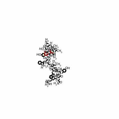 CC[C@H](C)[C@H](NC(=O)[C@H](Cc1c[nH]c2ccccc12)NC(=O)[C@H](C)NC(=O)[C@H](Cc1ccc(O)cc1)NC(=O)[C@H](CCC(N)=O)NC(=O)[C@@H](N)CCCNC(=N)N)C(=O)N[C@@H](C)C(=O)N[C@@H](Cc1c[nH]c2ccccc12)C(=O)N[C@@H](Cc1ccc(O)cc1)C(=O)N[C@@H](CCCCN)C(=O)N[C@@H](CC(C)C)C(=O)N[C@@H](C)C(=O)N[C@@H](CC(N)=O)C(=O)N[C@@H](CO)C(=O)N[C@@H](CCCCN)C(=O)O